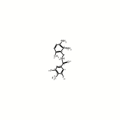 Cc1ccc(N)c(N)c1CNC(=O)c1cc(F)c(C(F)(F)F)c(F)c1